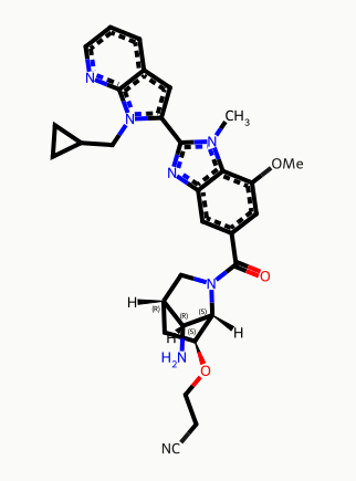 COc1cc(C(=O)N2C[C@H]3C[C@H](OCCC#N)[C@@H]2[C@@H]3N)cc2nc(-c3cc4cccnc4n3CC3CC3)n(C)c12